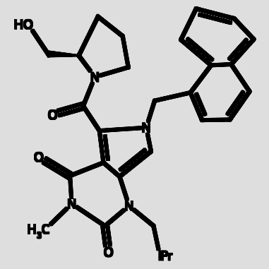 CC(C)Cn1c(=O)n(C)c(=O)c2c(C(=O)N3CCC[C@@H]3CO)n(Cc3cccc4ccccc34)cc21